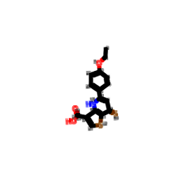 CCOc1ccc(-c2cc(=S)c3scc(C(=O)O)c3[nH]2)cc1